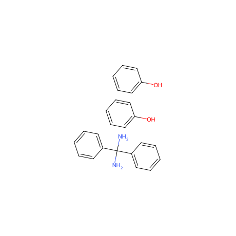 NC(N)(c1ccccc1)c1ccccc1.Oc1ccccc1.Oc1ccccc1